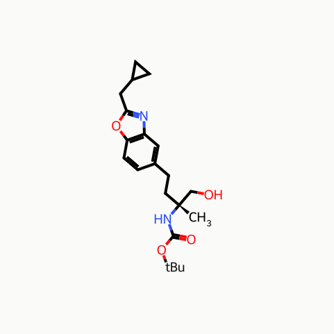 CC(C)(C)OC(=O)N[C@@](C)(CO)CCc1ccc2oc(CC3CC3)nc2c1